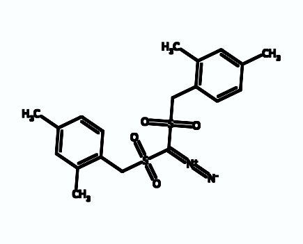 Cc1ccc(CS(=O)(=O)C(=[N+]=[N-])S(=O)(=O)Cc2ccc(C)cc2C)c(C)c1